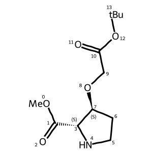 COC(=O)[C@H]1NCC[C@@H]1OCC(=O)OC(C)(C)C